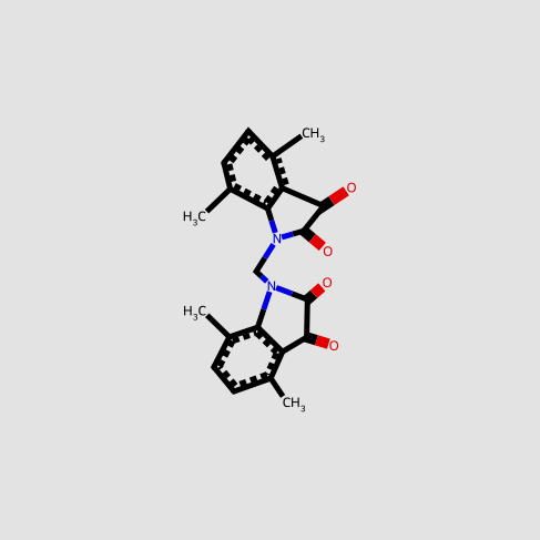 Cc1ccc(C)c2c1C(=O)C(=O)N2CN1C(=O)C(=O)c2c(C)ccc(C)c21